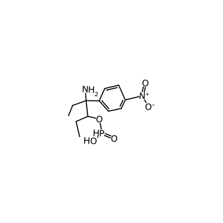 CCC(O[PH](=O)O)C(N)(CC)c1ccc([N+](=O)[O-])cc1